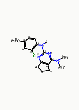 CCCN(CCC)c1nc(N(C)c2ccc(OC)cc2Cl)nc2c1CCC2